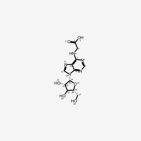 O=C(O)CNc1ncnc2c1ncn2[C@@H]1O[C@H](CO)C(O)[C@@H]1O